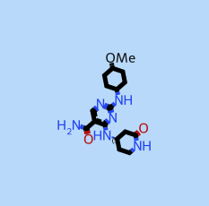 COC1CCC(Nc2ncc(C(N)=O)c(N[C@H]3CCNC(=O)C3)n2)CC1